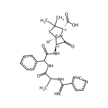 CC(NC(=N)c1ccncc1)C(=O)NC(C(=O)N[C@@H]1C(=O)N2[C@@H]1SC(C)(C)[C@@H]2C(=O)O)c1ccccc1